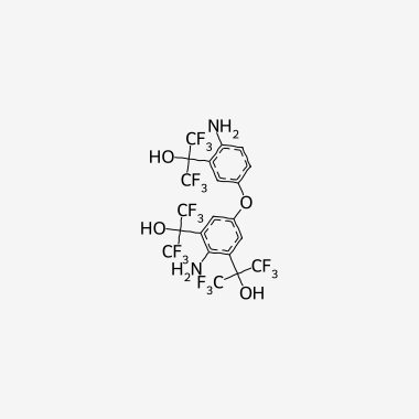 Nc1ccc(Oc2cc(C(O)(C(F)(F)F)C(F)(F)F)c(N)c(C(O)(C(F)(F)F)C(F)(F)F)c2)cc1C(O)(C(F)(F)F)C(F)(F)F